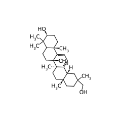 CC1(CO)CC[C@]2(C)CC[C@]3(C)C(=CC=C4[C@@]5(C)CC[C@H](O)C(C)(C)C5CC[C@]43C)[C@@H]2C1